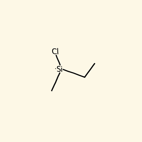 CC[Si](C)Cl